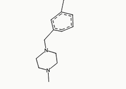 CN1CCN(Cc2cccc(CC(=O)O)c2)CC1